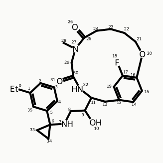 CCc1cccc(C2(NCC(O)C3Cc4ccc(c(F)c4)OCCCCC(=O)N(C)CC(=O)N3)CC2)c1